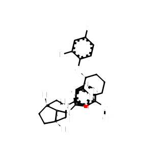 COc1cc(N2C[C@H]3CC[C@@H](C2)[C@@H]3Nc2nc3n(n2)CCC[C@@H]3Oc2ccc(F)cc2F)cnn1